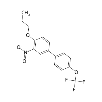 CCCOc1ccc(-c2ccc(OC(F)(F)F)cc2)cc1[N+](=O)[O-]